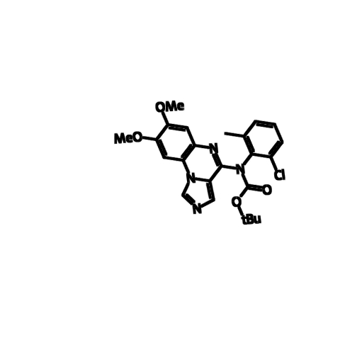 COc1cc2nc(N(C(=O)OC(C)(C)C)c3c(C)cccc3Cl)c3cncn3c2cc1OC